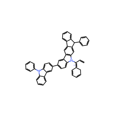 C=C/C(=C1/C=CC=CC1)n1c2ccc(-c3ccc4c(c3)c3ccccc3n4-c3ccccc3)cc2c2cc3c(cc21)C(c1ccccc1)c1ccccc1-3